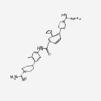 Cc1cc(NC(=O)c2ccc(C3=CCN(C(=N)N)CC3)c(Cl)c2)ccc1C1=CCN(C(=N)N)CC1